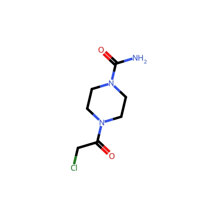 NC(=O)N1CCN(C(=O)CCl)CC1